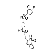 O=C(CCCc1nc2ccccc2c(=O)[nH]1)NC1CCC(c2nnc(-c3ccc(F)c(Cl)c3)o2)CC1